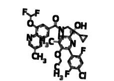 CCOc1c(C)cc([C@@](O)(CNC(=O)c2cc(OC(F)F)c3ncc(C)cc3c2)C2CC2)nc1-c1cc(F)c(Cl)cc1F